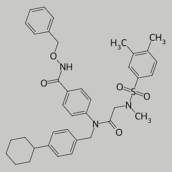 Cc1ccc(S(=O)(=O)N(C)CC(=O)N(Cc2ccc(C3CCCCC3)cc2)c2ccc(C(=O)NOCc3ccccc3)cc2)cc1C